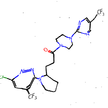 O=C(CCC1CCCN1c1nnc(Cl)cc1C(F)(F)F)N1CCN(c2ncc(C(F)(F)F)cn2)CC1